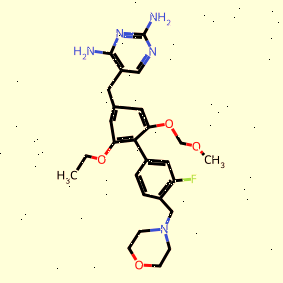 CCOc1cc(Cc2cnc(N)nc2N)cc(OCOC)c1-c1ccc(CN2CCOCC2)c(F)c1